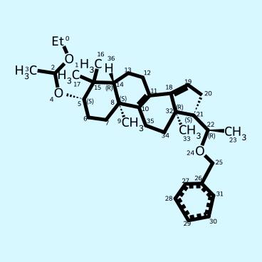 CCOC(C)O[C@H]1CC[C@]2(C)C3=C(CC[C@H]2C1(C)C)C1=CC[C@H]([C@@H](C)OCc2ccccc2)[C@@]1(C)CC3